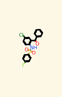 O=C(c1ccccc1)c1cc(Cl)ccc1NS(=O)(=O)c1ccc(F)cc1